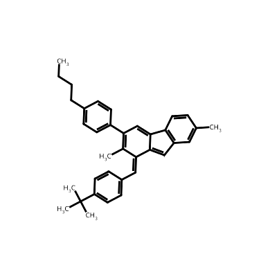 CCCCc1ccc(-c2cc3c(c(=Cc4ccc(C(C)(C)C)cc4)c2C)=[C]c2cc(C)ccc2-3)cc1